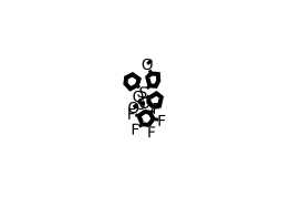 COc1cccc(S(OS(=O)(=O)c2c(F)c(F)c(F)c(F)c2F)(c2ccccc2)c2ccccc2)c1